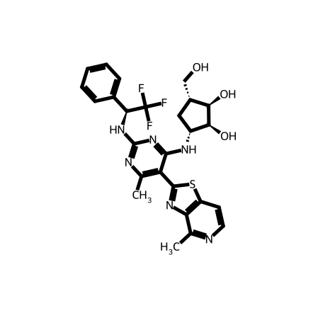 Cc1nc(N[C@@H](c2ccccc2)C(F)(F)F)nc(N[C@@H]2C[C@H](CO)[C@@H](O)[C@H]2O)c1-c1nc2c(C)nccc2s1